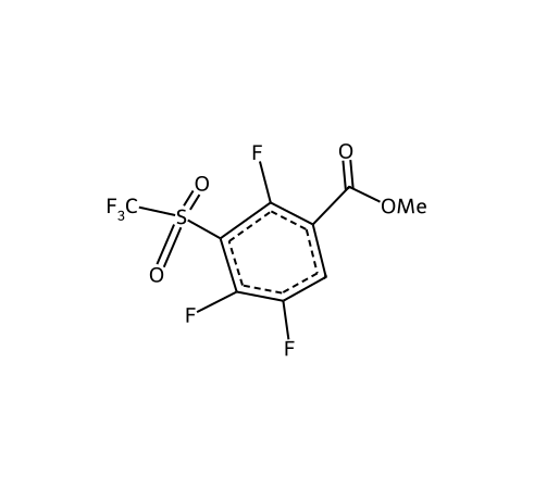 COC(=O)c1cc(F)c(F)c(S(=O)(=O)C(F)(F)F)c1F